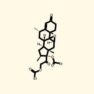 CCC(=O)OCC(=O)[C@@]1(OC(=O)CC)[C@@H](C)C[C@H]2[C@@H]3C[C@H](C)C4=CC(=O)CC[C@]4(C)C34O[C@H]4C[C@@]21C